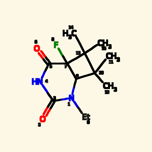 CCN1C(=O)NC(=O)C2(F)C1C(C)(C)C2(C)C